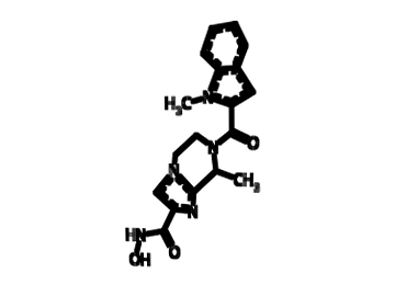 CC1c2nc(C(=O)NO)cn2CCN1C(=O)c1cc2ccccc2n1C